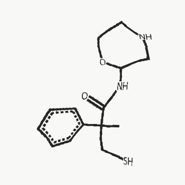 CC(CS)(C(=O)NC1CNCCO1)c1ccccc1